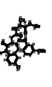 COc1ccc([C@H]2S[C@H](CC(=O)N[C@@H](C)C(=O)OC(C)(C)C)C(=O)N(CC(C)(C)C)c3ccc(Cl)cc32)c(OC)c1